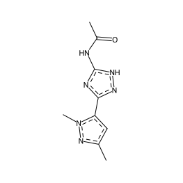 CC(=O)Nc1nc(-c2cc(C)nn2C)n[nH]1